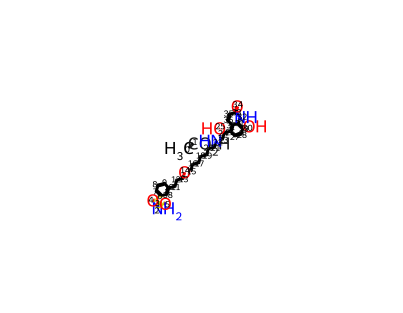 CC(=O)O.NS(=O)(=O)c1cccc(CCCOCCCCCCCNC[C@H](O)c2ccc(O)c3[nH]c(=O)ccc23)c1